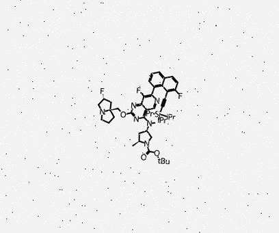 CC(C)[Si](C#Cc1c(F)ccc2cccc(-c3ncc4c(N(C)[C@@H]5C[C@H](C)N(C(=O)OC(C)(C)C)C5)nc(OC[C@@]56CCCN5C[C@H](F)C6)nc4c3F)c12)(C(C)C)C(C)C